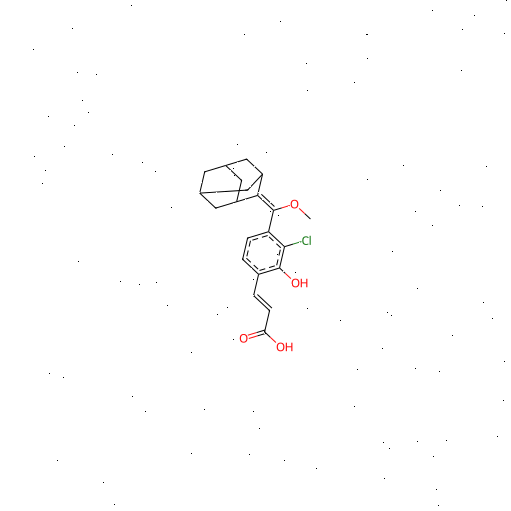 COC(=C1C2CC3CC(C2)CC1C3)c1ccc(/C=C/C(=O)O)c(O)c1Cl